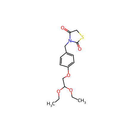 CCOC(COc1ccc(CN2C(=O)CSC2=O)cc1)OCC